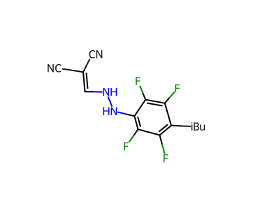 CCC(C)c1c(F)c(F)c(NNC=C(C#N)C#N)c(F)c1F